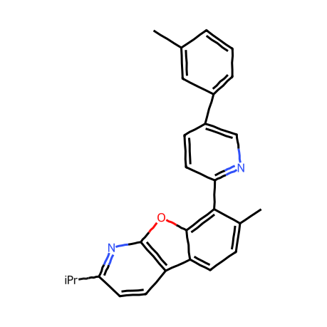 Cc1cccc(-c2ccc(-c3c(C)ccc4c3oc3nc(C(C)C)ccc34)nc2)c1